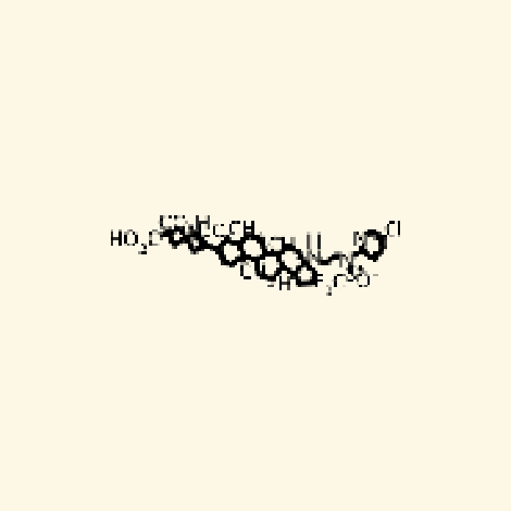 CC1(C)C(C2=CC3(C2)CC(C(=O)O)(C(=O)O)C3)=CCC2(C)C1CCC1(C)C3CCC4(NCCN(c5ccc(Cl)cn5)[S+]([O-])C(F)(F)F)CCC[C@@H]4C3CCC12